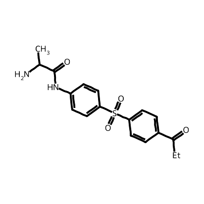 CCC(=O)c1ccc(S(=O)(=O)c2ccc(NC(=O)C(C)N)cc2)cc1